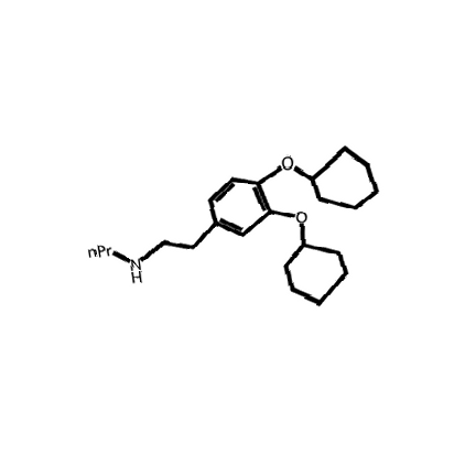 CCCNCCc1ccc(OC2CCCCC2)c(OC2CCCCC2)c1